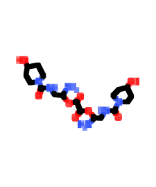 NC(CNC(=O)N1CCC(O)CC1)OC(=O)C(=O)OC(N)CNC(=O)N1CCC(O)CC1